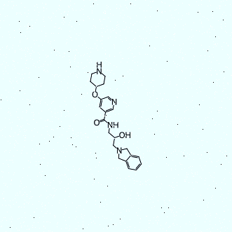 O=C(NCC(O)CN1Cc2ccccc2C1)c1cncc(OC2CCNCC2)c1